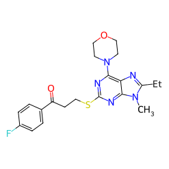 CCc1nc2c(N3CCOCC3)nc(SCCC(=O)c3ccc(F)cc3)nc2n1C